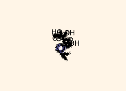 CCCN(CCC)C/C1=C/C=C(/c2ccc(O)c3c2CC(CC(CCO)C(CO)C(=O)CC(C)=O)CC3=O)C/C=C\C=C/C1